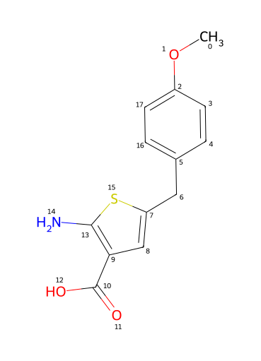 COc1ccc(Cc2cc(C(=O)O)c(N)s2)cc1